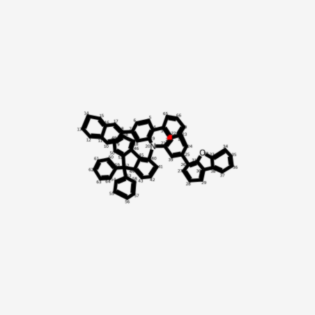 c1ccc(-c2ccc(-c3ccc4ccccc4c3)cc2N(c2cccc(-c3cccc4c3oc3ccccc34)c2)c2cccc3c2-c2ccccc2C3(c2ccccc2)c2ccccc2)cc1